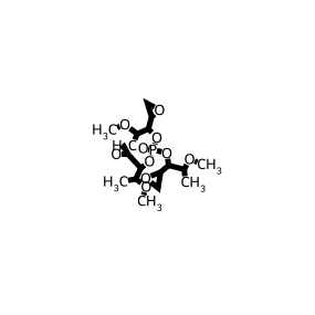 COC(C)C(OP(=O)(OC(C(C)OC)C1CO1)OC(C(C)OC)C1CO1)C1CO1